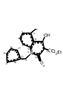 CCOC(=O)c1c(O)c2c(C)cccc2n(Cc2ccccc2)c1=O